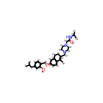 COc1cc(CC(C)C)ccc1COc1ccc2c(c1)CCC(CN1CCN(CC(=O)NC(C)C)CC1)=C2C